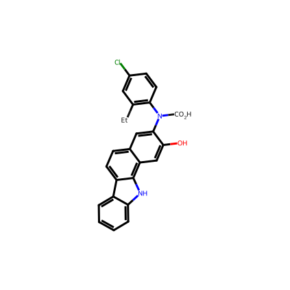 CCc1cc(Cl)ccc1N(C(=O)O)c1cc2ccc3c4ccccc4[nH]c3c2cc1O